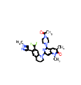 CC(=O)N1CCN(c2nc(N3CCCc4cc(-c5cnn(C)c5)c(C(F)F)cc43)cc3c2cc(C)c(=O)n3C)CC1